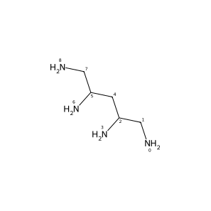 NCC(N)CC(N)CN